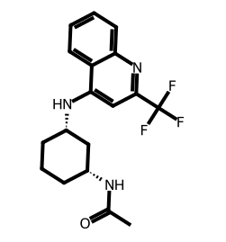 CC(=O)N[C@@H]1CCC[C@H](Nc2cc(C(F)(F)F)nc3ccccc23)C1